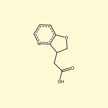 O=C(O)CC1COc2cccnc21